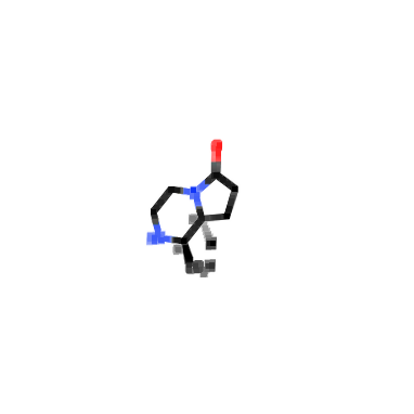 O=C(O)[C@H]1NCCN2C(=O)CC[C@@H]12